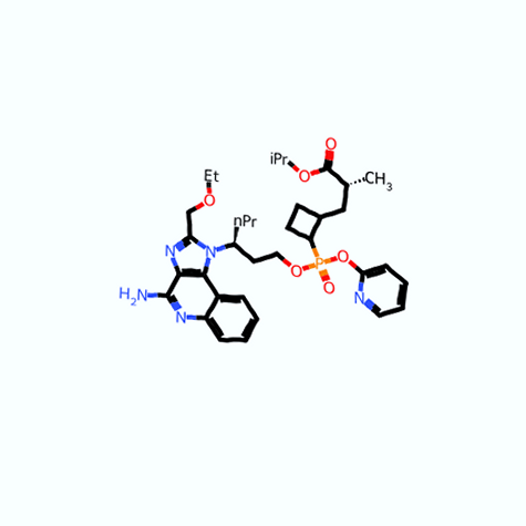 CCC[C@@H](CCOP(=O)(Oc1ccccn1)C1CCC1C[C@@H](C)C(=O)OC(C)C)n1c(COCC)nc2c(N)nc3ccccc3c21